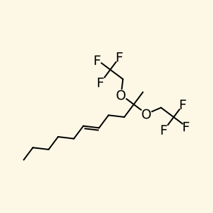 CCCCC/C=C/CCC(C)(OCC(F)(F)F)OCC(F)(F)F